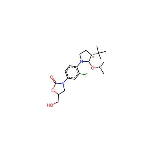 C[SiH](C)OC1[C@@H](C(C)(C)C)CCN1c1ccc(N2CC(CO)OC2=O)cc1F